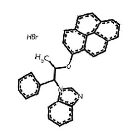 Br.CC(Oc1ccc2ccc3cccc4ccc1c2c34)C(c1ccccc1)n1cnc2ccccc21